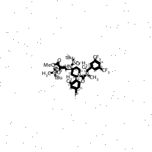 COC(=O)/C(=C/C[C@@]1(N[S+]([O-])C(C)(C)C)CCN(C(=O)N(C)[C@H](C)c2cc(C(F)(F)F)cc(C(F)(F)F)c2)[C@@H](c2ccc(F)cc2C)C1)O[Si](C)(C)C(C)(C)C